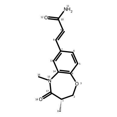 C[C@H]1COc2ccc(/C=C/C(N)=O)cc2N(C)C1=O